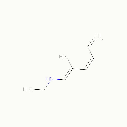 C=C/C=C\C(C)=C\NCC